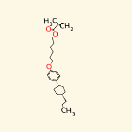 C=C(C)C(=O)OCCCCCCOc1ccc([C@H]2CC[C@H](CCC)CC2)cc1